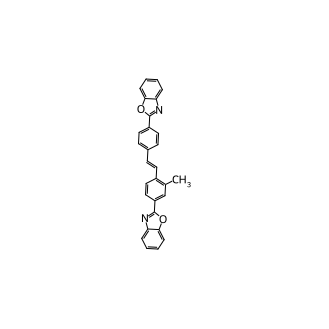 Cc1cc(-c2nc3ccccc3o2)ccc1C=Cc1ccc(-c2nc3ccccc3o2)cc1